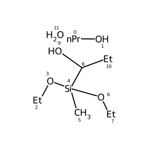 CCCO.CCO[Si](C)(OCC)C(O)CC.O